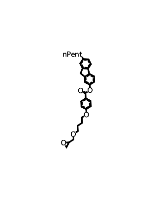 CCCCCc1ccc2c(c1)Cc1cc(OC(=O)c3ccc(OCCCCOCC4CO4)cc3)ccc1-2